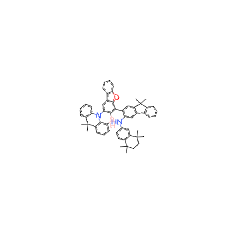 CC1(C)CCC(C)(C)c2cc(Nc3cc4c(cc3-c3c5c(cc6c3oc3ccccc36)N3c6ccccc6C(C)(C)c6cccc(c63)B5)C(C)(C)c3ccccc3-4)ccc21